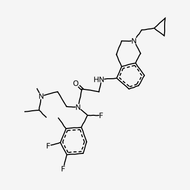 Cc1c(C(F)N(CCN(C)C(C)C)C(=O)CNc2cccc3c2CCN(CC2CC2)C3)ccc(F)c1F